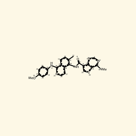 CNc1ncnc2c(C(=O)Nc3c(C)ccc4c(Nc5ccc(OC)cc5)nccc34)csc12